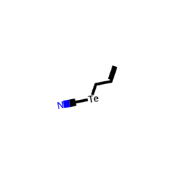 C=CC[Te]C#N